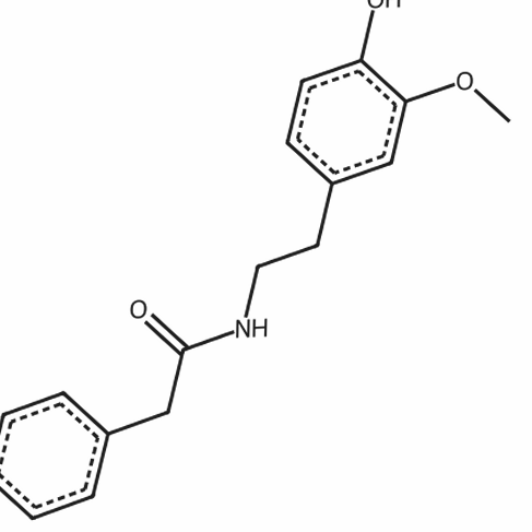 COc1cc(CCNC(=O)Cc2ccccc2)ccc1O